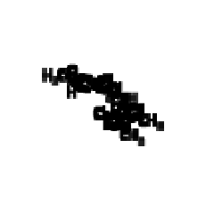 COc1cnc(Cl)cc1-c1cc(C)ncc1C(=O)Nc1nc2ncc(N3CCC(NC(C)=O)CC3)cc2s1